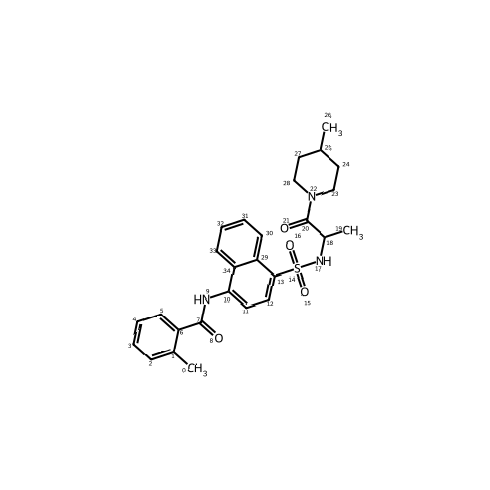 Cc1ccccc1C(=O)Nc1ccc(S(=O)(=O)NC(C)C(=O)N2CCC(C)CC2)c2ccccc12